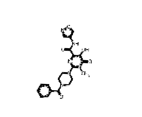 Cn1c(N2CCN(C(=O)c3ccccc3)CC2)nc(C(=O)Nc2cnoc2)c(O)c1=O